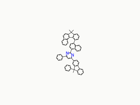 CC1(C)c2cccc(-c3ccc(-c4nc(-c5ccccc5)cc(-c5ccc6c(c5)C(C)(c5ccccc5)c5ccccc5-6)n4)c4ccccc34)c2-c2c1ccc1ccccc21